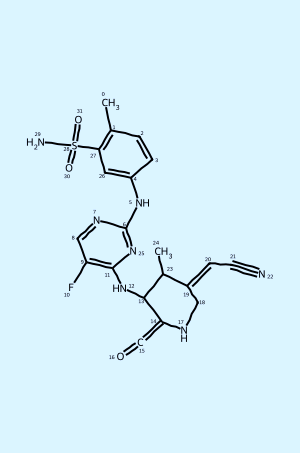 Cc1ccc(Nc2ncc(F)c(NC3C(=C=O)NCC(=CC#N)C3C)n2)cc1S(N)(=O)=O